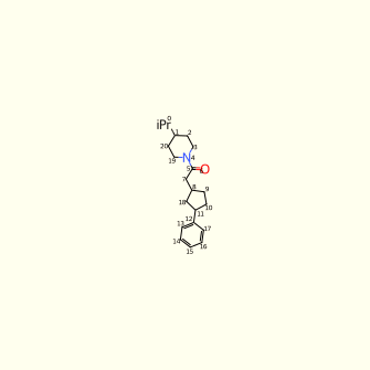 CC(C)C1CCN(C(=O)CC2CCC(c3ccccc3)C2)CC1